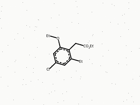 CCOC(=O)Cc1c(CC)cc(Cl)cc1OCC